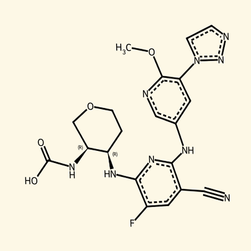 COc1ncc(Nc2nc(N[C@@H]3CCOC[C@@H]3NC(=O)O)c(F)cc2C#N)cc1-n1ccnn1